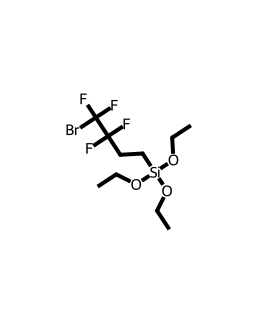 CCO[Si](CCC(F)(F)C(F)(F)Br)(OCC)OCC